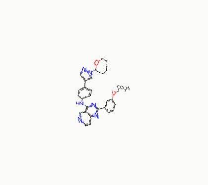 O=C(O)COc1cccc(-c2nc(Nc3ccc(-c4cnn(C5CCCCO5)c4)cc3)c3cnccc3n2)c1